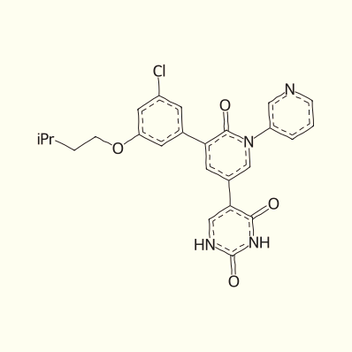 CC(C)CCOc1cc(Cl)cc(-c2cc(-c3c[nH]c(=O)[nH]c3=O)cn(-c3cccnc3)c2=O)c1